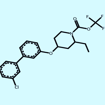 CCC1CC(Oc2cccc(-c3cccc(Cl)c3)c2)CCN1C(=O)OC(F)(F)F